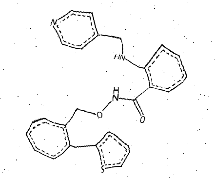 O=C(NOCc1ccccc1-c1cccs1)c1ccccc1NCc1ccncc1